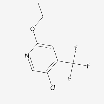 CCOc1cc(C(F)(F)F)c(Cl)cn1